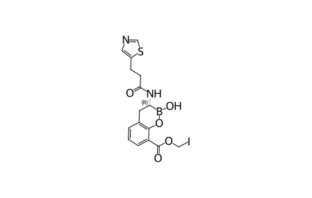 O=C(CCc1cncs1)N[C@H]1Cc2cccc(C(=O)OCI)c2OB1O